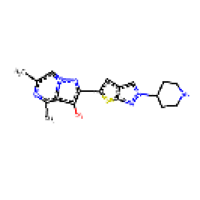 Cc1cn2nc(-c3cc4cn(C5CCNCC5)nc4s3)c(O)c2c(C)n1